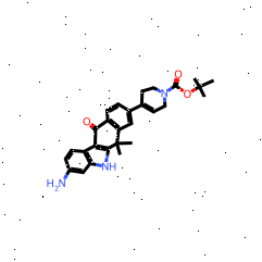 CC(C)(C)OC(=O)N1CC=C(c2ccc3c(c2)C(C)(C)c2[nH]c4cc(N)ccc4c2C3=O)CC1